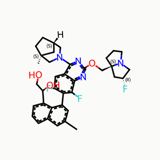 Cc1cc(-c2c(F)cc3c(N4C[C@H]5CC[C@@](C)(C5)C4)nc(OC[C@@]45CCCN4C[C@H](F)C5)nc3c2F)c2c(C(O)CO)cccc2c1